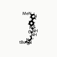 CNc1cncc(-c2ccc3nc(NC(=O)NCCc4noc(C(C)(C)C)n4)sc3c2)c1